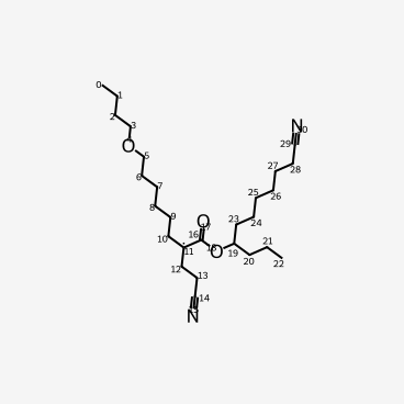 CCCCOCCCCCC[C](CCC#N)C(=O)OC(CCC)CCCCCCC#N